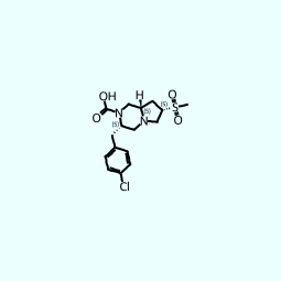 CS(=O)(=O)[C@H]1C[C@H]2CN(C(=O)O)[C@@H](Cc3ccc(Cl)cc3)CN2C1